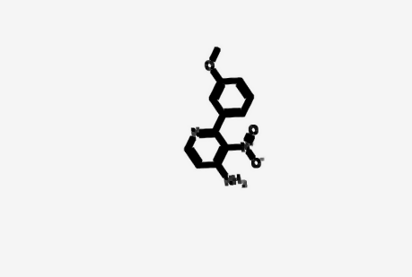 COc1cccc(-c2nccc(N)c2[N+](=O)[O-])c1